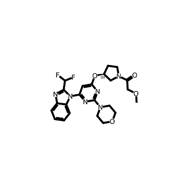 COCC(=O)N1CC[C@H](Oc2cc(-n3c(C(F)F)nc4ccccc43)nc(N3CCOCC3)n2)C1